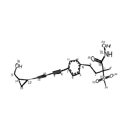 CC(CCc1ccc(C#CC#C[C@H]2CC2CO)cc1)(C(=O)NO)S(C)(=O)=O